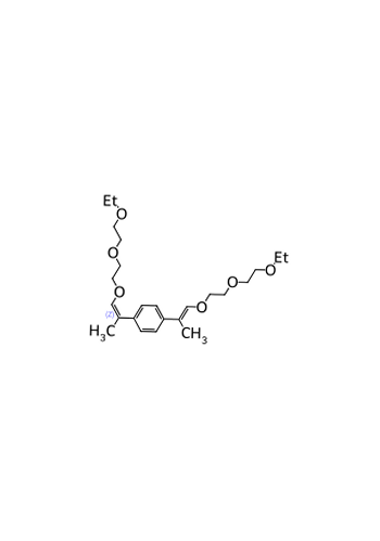 CCOCCOCCOC=C(C)c1ccc(/C(C)=C\OCCOCCOCC)cc1